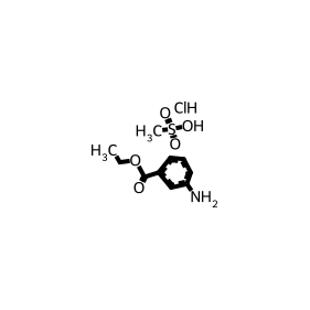 CCOC(=O)c1cccc(N)c1.CS(=O)(=O)O.Cl